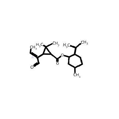 C/C=C(/C=O)C1C(C(=O)OC2CC(C)CCC2C(C)C)C1(C)C